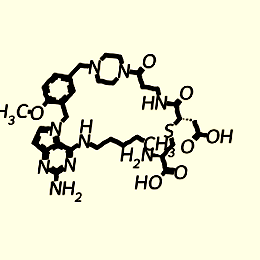 CCCCCNc1nc(N)nc2ccn(Cc3cc(CN4CCN(C(=O)CCNC(=O)[C@H](CC(=O)O)SC[C@H](N)C(=O)O)CC4)ccc3OC)c12